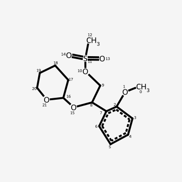 COc1ccccc1C(COS(C)(=O)=O)OC1CCCCO1